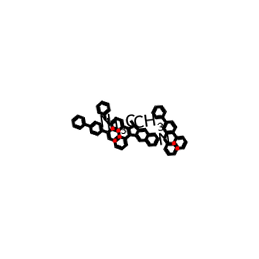 CC1(C)c2cc3cc(N(c4ccccc4)c4cc(-c5ccccc5)ccc4-c4ccccc4)ccc3cc2-c2c1c1ccc(N(c3ccccc3)c3cc(-c4ccccc4)ccc3-c3ccccc3)cc1c1ccccc21